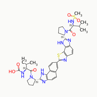 CC(C)[C@H](NC(=O)O)C(=O)N1CCC[C@H]1c1nc2ccc3cc(-c4nc5ccc6nc([C@@H]7CCCN7C(=O)[C@@H](NS(C)(=O)=O)C(C)C)[nH]c6c5s4)ccc3c2[nH]1